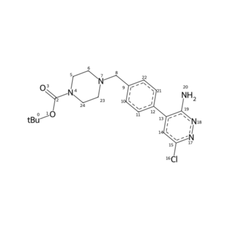 CC(C)(C)OC(=O)N1CCN(Cc2ccc(-c3cc(Cl)nnc3N)cc2)CC1